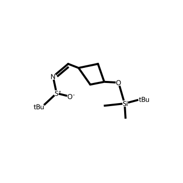 CC(C)(C)[S+]([O-])/N=C\C1CC(O[Si](C)(C)C(C)(C)C)C1